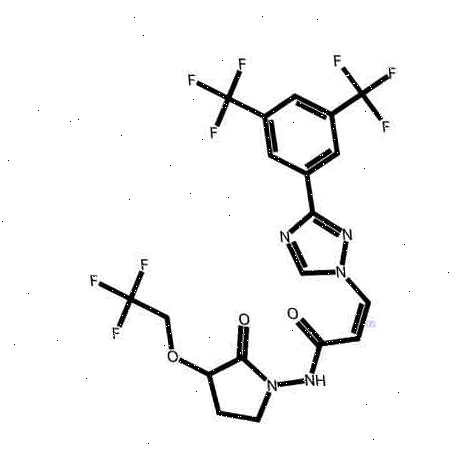 O=C(/C=C\n1cnc(-c2cc(C(F)(F)F)cc(C(F)(F)F)c2)n1)NN1CCC(OCC(F)(F)F)C1=O